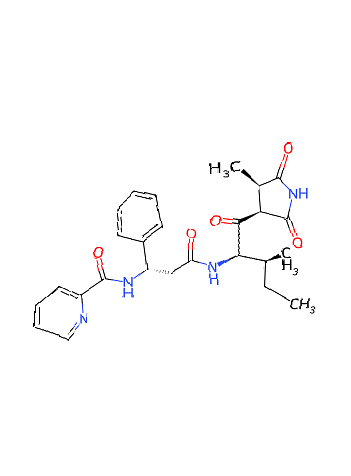 CC[C@H](C)[C@@H](NC(=O)C[C@H](NC(=O)c1ccccn1)c1ccccc1)C(=O)[C@@H]1C(=O)NC(=O)[C@@H]1C